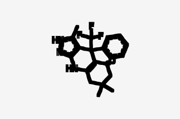 Cc1[nH]nc2c1C(c1ccccc1)(C(F)(F)F)C1=C(CC(C)(C)CC1=O)N2